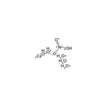 O.O.O.O.O.O=[N+]([O-])O.[Ce]